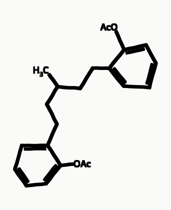 CC(=O)Oc1ccccc1CCC(C)CCc1ccccc1OC(C)=O